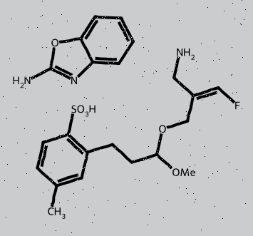 COC(CCc1cc(C)ccc1S(=O)(=O)O)OC/C(=C\F)CN.Nc1nc2ccccc2o1